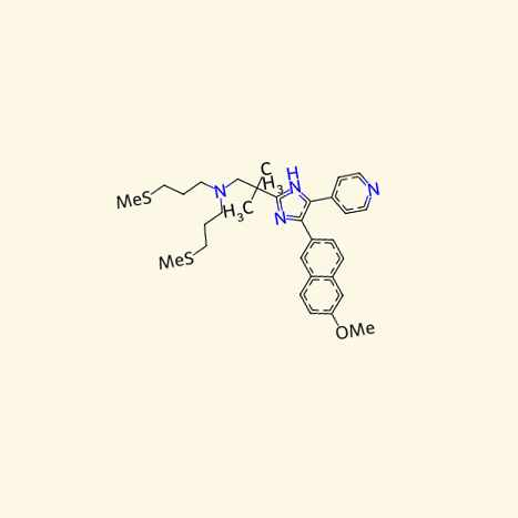 COc1ccc2cc(-c3nc(C(C)(C)CN(CCCSC)CCCSC)[nH]c3-c3ccncc3)ccc2c1